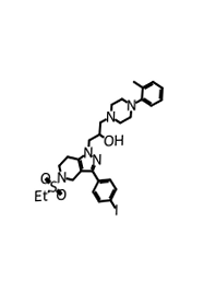 CCS(=O)(=O)N1CCc2c(c(-c3ccc(I)cc3)nn2CC(O)CN2CCN(c3ccccc3C)CC2)C1